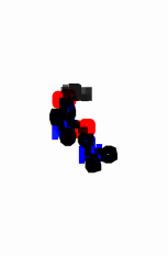 CC(C)(C)OC(=O)N1CCC(C(COC(=O)C2CCN(c3nc4ccccc4n3Cc3ccccc3)CC2)n2c(-c3ccccc3)nc3ccccc32)CC1